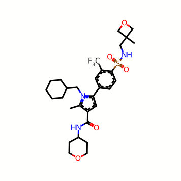 Cc1c(C(=O)NC2CCOCC2)cc(-c2ccc(S(=O)(=O)NCC3(C)COC3)c(C(F)(F)F)c2)n1CC1CCCCC1